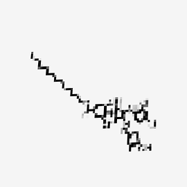 CCCCCCCCCCCCCCOC(=O)c1cc(Cl)c(-n2[nH]c(Nc3ccc(Cl)cc3Cl)c(/N=N/c3ccc(O)c(C)c3)c2=O)c(Cl)c1